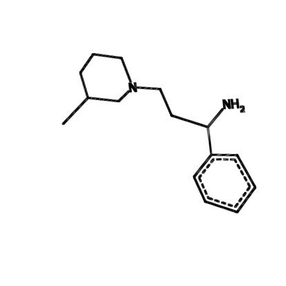 CC1CCCN(CCC(N)c2ccccc2)C1